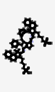 CC1(C)C(/C=C/C2=C3C(=C/C=C4/N(CCCCS(=O)(=O)O)c5ccc6ccccc6c5C4(C)c4cccc(c4)CN3Cc3ccccc3)/CC2)=[N+](CCCCS(=O)(=O)O)c2ccc3ccccc3c21